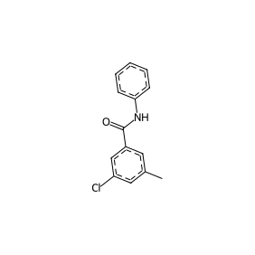 Cc1cc(Cl)cc(C(=O)Nc2ccccc2)c1